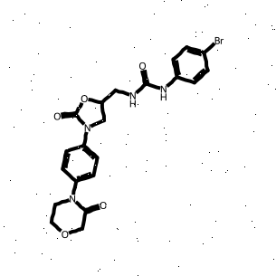 O=C(NCC1CN(c2ccc(N3CCOCC3=O)cc2)C(=O)O1)Nc1ccc(Br)cc1